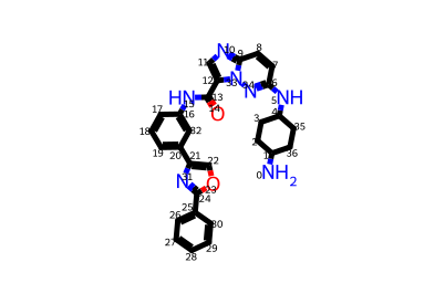 NC1CCC(Nc2ccc3ncc(C(=O)Nc4cccc(-c5coc(-c6ccccc6)n5)c4)n3n2)CC1